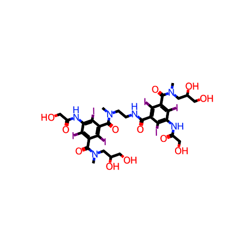 CN(CC(O)CO)C(=O)c1c(I)c(NC(=O)CO)c(I)c(C(=O)NCCN(C)C(=O)c2c(I)c(NC(=O)CO)c(I)c(C(=O)N(C)CC(O)CO)c2I)c1I